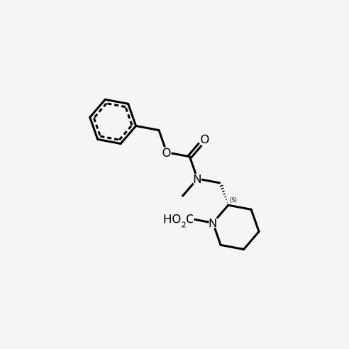 CN(C[C@@H]1CCCCN1C(=O)O)C(=O)OCc1ccccc1